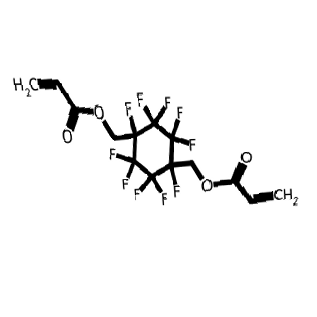 C=CC(=O)OCC1(F)C(F)(F)C(F)(F)C(F)(COC(=O)C=C)C(F)(F)C1(F)F